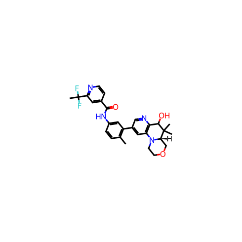 Cc1ccc(NC(=O)c2ccnc(C(C)(F)F)c2)cc1-c1cnc2c(c1)N1CCOC[C@H]1C(C)(C)C2O